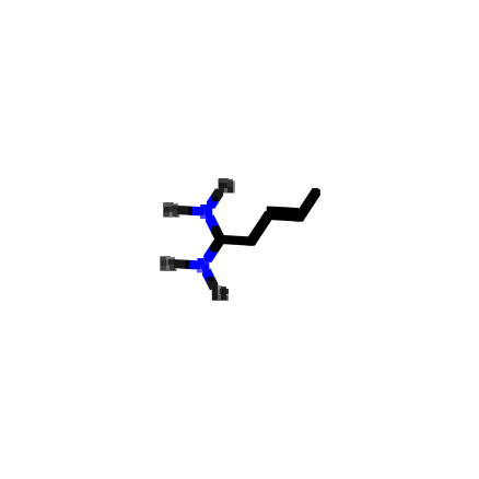 CC=CCC(N(CC)CC)N(CC)CC